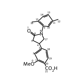 COc1cc(C2CC(=O)N(c3cc(C)ccc3C)C2)ccc1C(=O)O